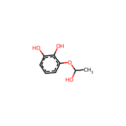 CC(O)Oc1cccc(O)c1O